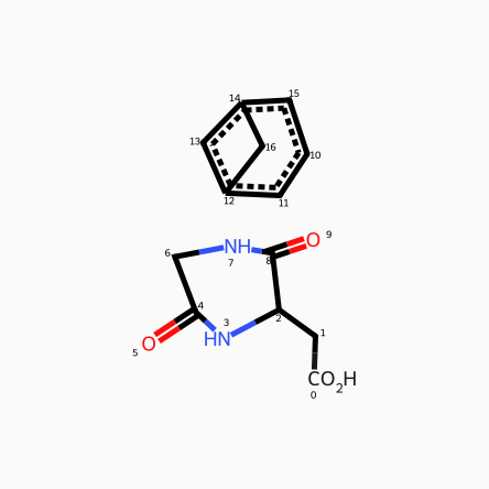 O=C(O)CC1NC(=O)CNC1=O.c1cc2cc(c1)C2